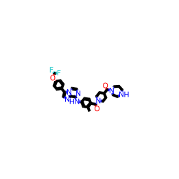 Cc1cc(Nc2nccn3c(-c4ccc(OC(F)F)cc4)cnc23)ccc1C(=O)N1CCC(C(=O)N2CCCNCC2)CC1